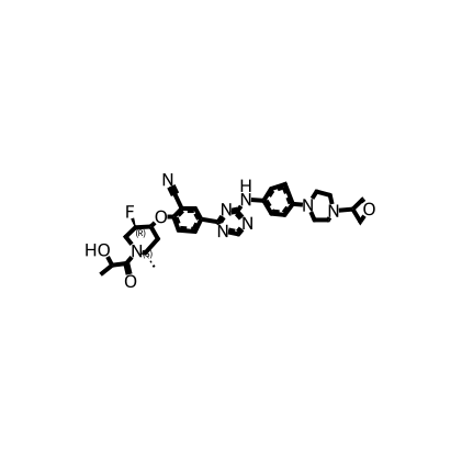 CC(O)C(=O)N1C[C@@H](F)C(Oc2ccc(-c3ncnc(Nc4ccc(N5CCN(C6COC6)CC5)cc4)n3)cc2C#N)C[C@@H]1C